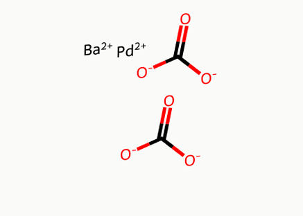 O=C([O-])[O-].O=C([O-])[O-].[Ba+2].[Pd+2]